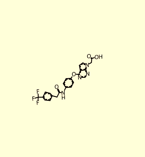 O=C(O)Cn1ccc2c(Oc3ccc(NC(=O)Cc4ccc(C(F)(F)F)cc4)cc3)ncnc21